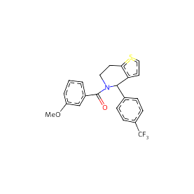 COc1cccc(C(=O)N2CCc3sccc3C2c2ccc(C(F)(F)F)cc2)c1